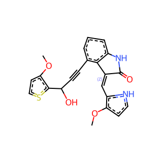 COc1cc[nH]c1/C=C1\C(=O)Nc2cccc(C#CC(O)c3sccc3OC)c21